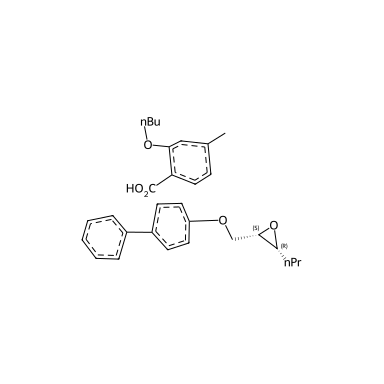 CCCCOc1cc(C)ccc1C(=O)O.CCC[C@H]1O[C@H]1COc1ccc(-c2ccccc2)cc1